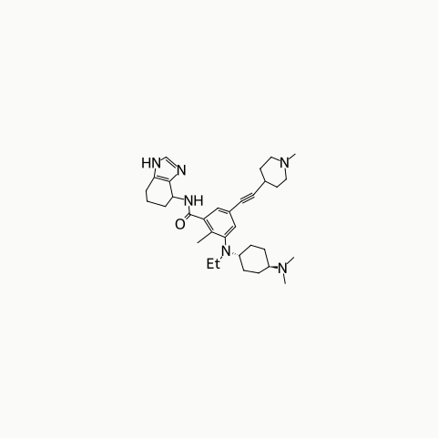 CCN(c1cc(C#CC2CCN(C)CC2)cc(C(=O)NC2CCCc3[nH]cnc32)c1C)[C@H]1CC[C@H](N(C)C)CC1